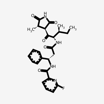 CC[C@H](C)[C@H](NC(=O)C[C@H](NC(=O)c1cccc(F)n1)c1ccccc1)C(=O)[C@@H]1C(=O)NC(=O)[C@H]1C